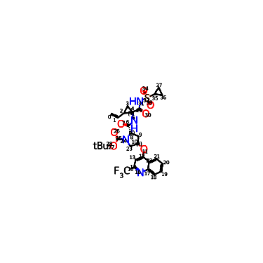 C=CC1C[C@]1(NC(=O)[C@@H]1C[C@@H](Oc2cc(C(F)(F)F)nc3ccccc23)CN1C(=O)OC(C)(C)C)C(=O)NS(=O)(=O)C1CC1